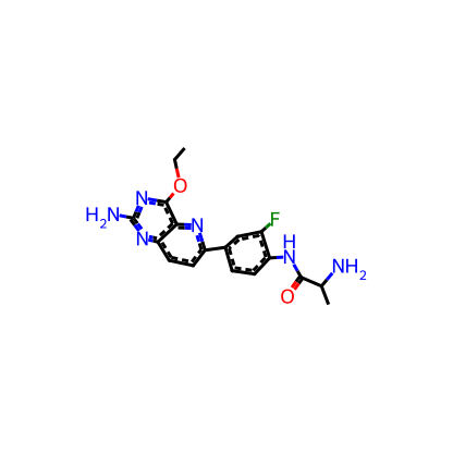 CCOc1nc(N)nc2ccc(-c3ccc(NC(=O)C(C)N)c(F)c3)nc12